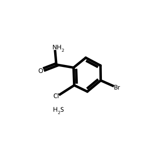 NC(=O)c1ccc(Br)cc1Cl.S